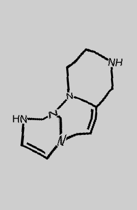 C1=CN2C=C3CNCCN3N2N1